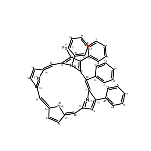 [Fe][c]1c(-c2ccccc2)c2c(-c3ccccc3)c3nc(cc4ccc(cc5nc(cc1n2-c1ccccc1)C=C5)[nH]4)C=C3c1ccccc1